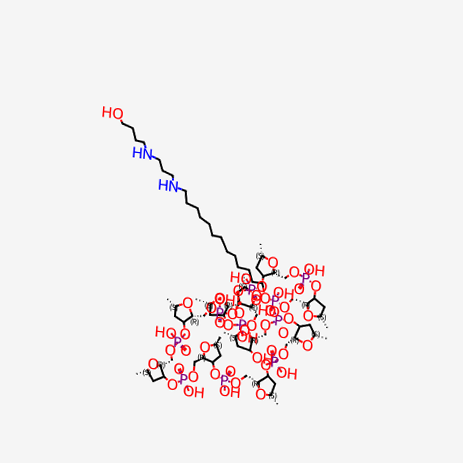 C[C@H]1CC(O)[C@@H](COP(=O)(O)OC2C[C@H](C)O[C@@H]2COP(=O)(O)OC2C[C@H](C)O[C@@H]2COP(=O)(O)OC2C[C@H](C)O[C@@H]2COP(=O)(O)OC2C[C@H](C)O[C@@H]2COP(=O)(O)OC2C[C@H](C)O[C@@H]2COP(=O)(O)OC2C[C@H](C)O[C@@H]2COP(=O)(O)OC2C[C@H](C)O[C@@H]2COP(=O)(O)OC2C[C@H](C)O[C@@H]2COP(=O)(O)OC2C[C@H](C)O[C@@H]2COP(=O)(O)OCCCCCCCCCCCCCNCCCNCCCCO)O1